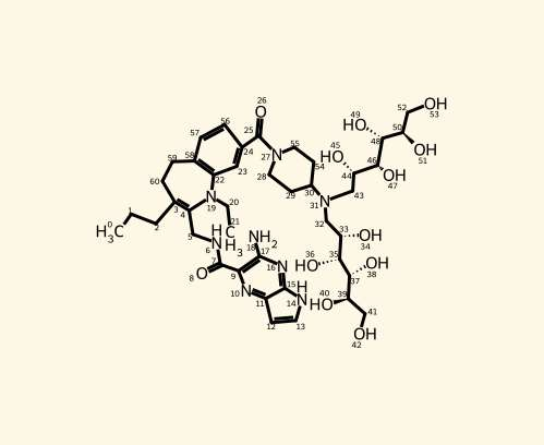 CCCC1=C(CNC(=O)c2nc3cc[nH]c3nc2N)N(CC)c2cc(C(=O)N3CCC(N(C[C@H](O)[C@@H](O)[C@H](O)[C@H](O)CO)C[C@H](O)[C@@H](O)[C@H](O)[C@H](O)CO)CC3)ccc2CC1